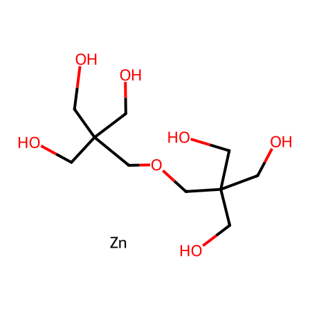 OCC(CO)(CO)COCC(CO)(CO)CO.[Zn]